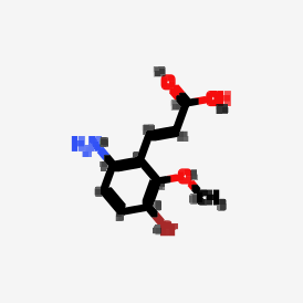 COc1c(Br)ccc(N)c1/C=C/C(=O)O